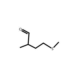 CSCCC(C)C=O